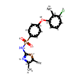 CC(=O)c1sc(NS(=O)(=O)c2ccc(Oc3cccc(Cl)c3C#N)cc2)nc1C